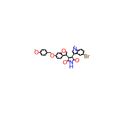 COc1ccc(COc2ccc3c(C4=C(c5cn(C)c6ccc(Br)cc56)C(=O)NC4=O)coc3c2)cc1